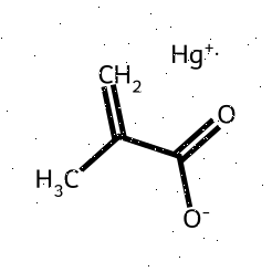 C=C(C)C(=O)[O-].[Hg+]